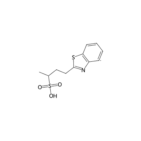 CC(CCc1nc2[c]cccc2s1)S(=O)(=O)O